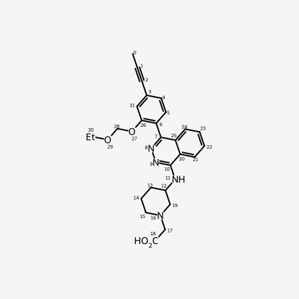 CC#Cc1ccc(-c2nnc(NC3CCCN(CC(=O)O)C3)c3ccccc23)c(OCOCC)c1